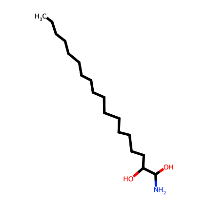 CCCCCCCCCCCCCCCCC(O)C(N)O